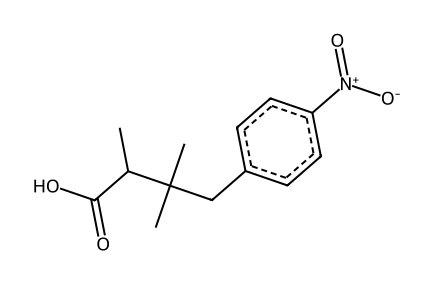 CC(C(=O)O)C(C)(C)Cc1ccc([N+](=O)[O-])cc1